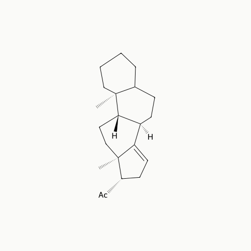 CC(=O)[C@H]1CC=C2[C@@H]3CCC4CCCC[C@]4(C)[C@H]3CC[C@@]21C